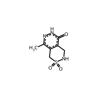 Cc1n[nH]c(=O)c2c1CS(=O)(=O)NC2